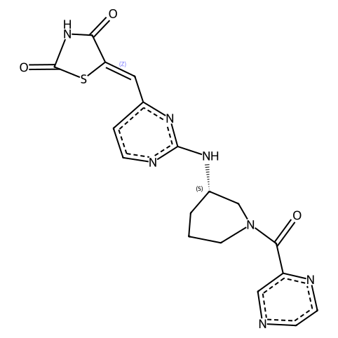 O=C1NC(=O)/C(=C/c2ccnc(N[C@H]3CCCN(C(=O)c4cnccn4)C3)n2)S1